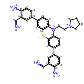 N=Cc1cc(-c2ccc3c(c2)Sc2cc(-c4ccc(N)c(C=N)c4)ccc2N3CCN2CCCC2)ccc1N